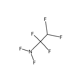 FC(F)C(F)(F)N(F)F